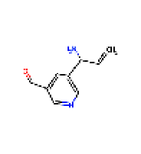 C=C[C@@H](N)c1cncc(C=O)c1